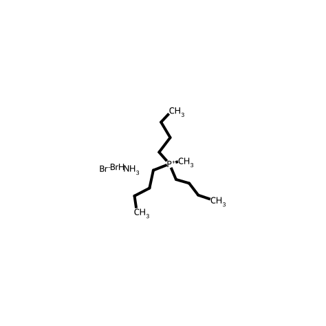 Br.CCCC[P+](C)(CCCC)CCCC.N.[Br-]